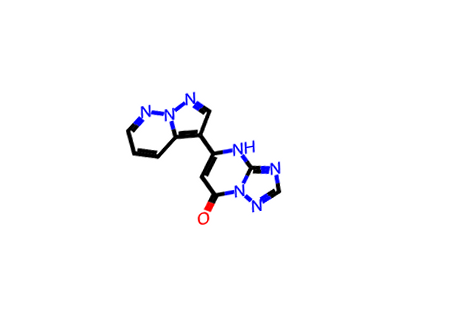 O=c1cc(-c2cnn3ncccc23)[nH]c2ncnn12